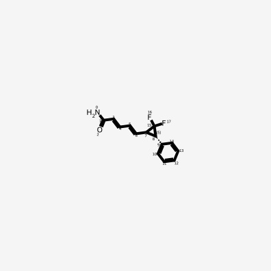 NC(=O)C=CC=CC1[C@@H](c2ccccc2)C1(F)F